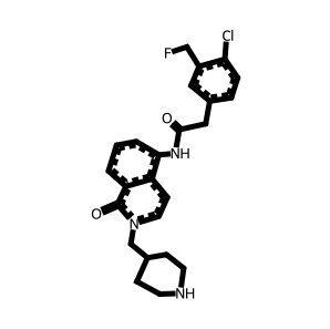 O=C(Cc1ccc(Cl)c(CF)c1)Nc1cccc2c(=O)n(CC3CCNCC3)ccc12